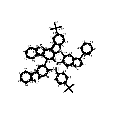 CC(C)(C)c1ccc(Nc2cc3oc4ccccc4c3cc2-c2c3c4c(c5cc(C(C)(C)C)ccc5n4-c4cc5c(-c6ccccc6)coc5cc4B3)c3sc4ccccc4c23)cc1